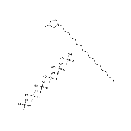 CCCCCCCCCCCCCCCCCCN1C=CN(C)C1.O=P(O)(O)F.O=P(O)(O)F.O=P(O)(O)F.O=P(O)(O)F.O=P(O)(O)F.O=P(O)(O)F